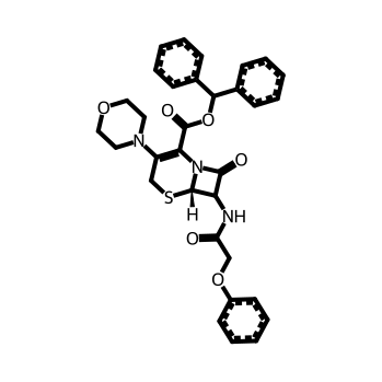 O=C(COc1ccccc1)NC1C(=O)N2C(C(=O)OC(c3ccccc3)c3ccccc3)=C(N3CCOCC3)CS[C@@H]12